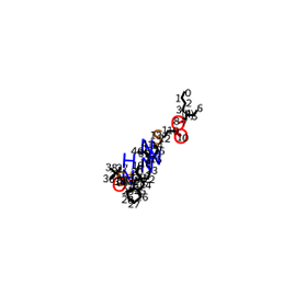 CCCC[C@@H](CC)COC(=O)CCSc1cnc(N2CCC3(CC2)Cc2ccccc2[C@H]3N[S@+]([O-])C(C)(C)C)c(C)n1